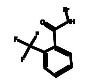 O=C(NBr)c1ccccc1C(F)(F)F